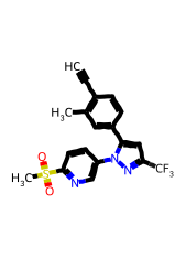 C#Cc1ccc(-c2cc(C(F)(F)F)nn2-c2ccc(S(C)(=O)=O)nc2)cc1C